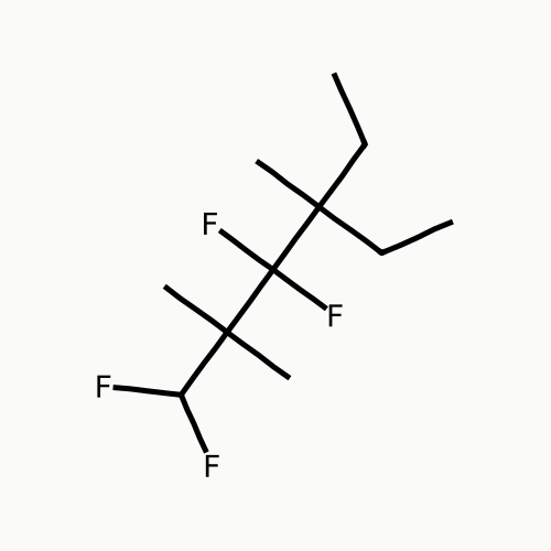 CCC(C)(CC)C(F)(F)C(C)(C)C(F)F